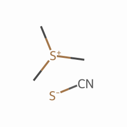 C[S+](C)C.N#C[S-]